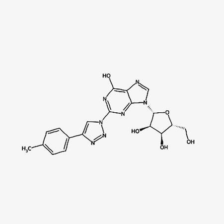 Cc1ccc(-c2cn(-c3nc(O)c4ncn([C@@H]5O[C@H](CO)[C@@H](O)[C@H]5O)c4n3)nn2)cc1